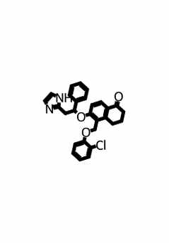 O=C1CCCc2c1ccc(OC(Cc1ncc[nH]1)c1ccccc1)c2COc1ccccc1Cl